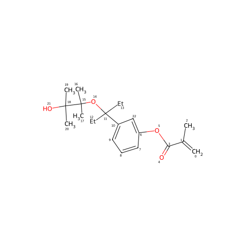 C=C(C)C(=O)Oc1cccc(C(CC)(CC)OC(C)(C)C(C)(C)O)c1